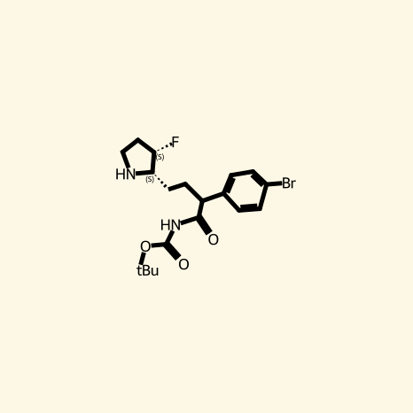 CC(C)(C)OC(=O)NC(=O)C(CC[C@@H]1NCC[C@@H]1F)c1ccc(Br)cc1